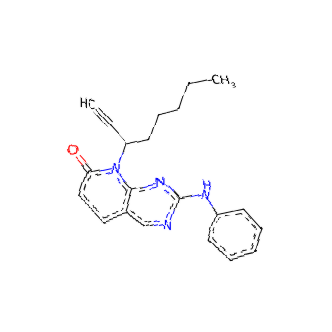 C#CC(CCCCC)n1c(=O)ccc2cnc(Nc3ccccc3)nc21